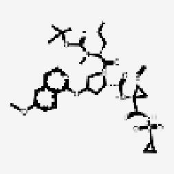 C=C[C@@H]1C[C@]1(NC(=O)[C@@H]1CC(Oc2nccc3cc(OC)ccc23)CN1C(=O)[C@H](CCC)N(C)C(=O)OC(C)(C)C)C(=O)NS(=O)(=O)C1CC1